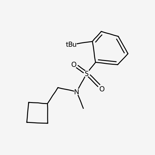 CN(CC1CCC1)S(=O)(=O)c1ccccc1C(C)(C)C